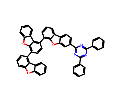 c1ccc(-c2nc(-c3ccccc3)nc(-c3ccc4c(c3)oc3c(-c5ccc(-c6cccc7oc8ccccc8c67)c6oc7ccccc7c56)cccc34)n2)cc1